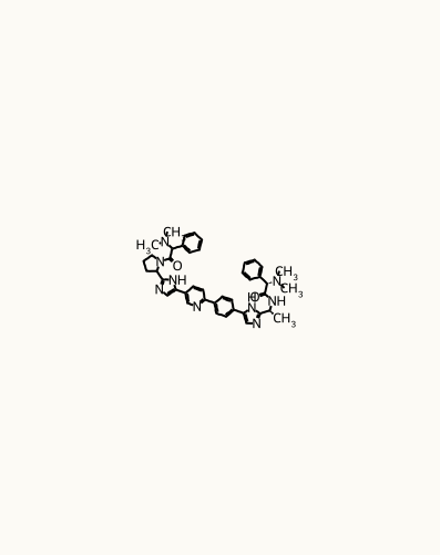 C[C@H](NC(=O)[C@H](c1ccccc1)N(C)C)c1ncc(-c2ccc(-c3ccc(-c4cnc(C5CCCN5C(=O)C(c5ccccc5)N(C)C)[nH]4)cn3)cc2)[nH]1